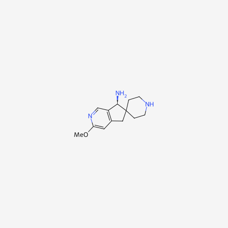 COc1cc2c(cn1)[C@@H](N)C1(CCNCC1)C2